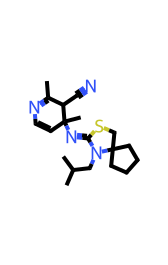 CC1=NC=CC(C)(N=C2SCC3(CCCC3)N2CC(C)C)C1C#N